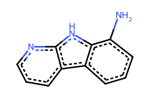 Nc1cccc2c1[nH]c1ncccc12